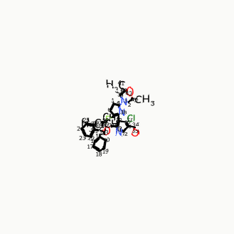 C[C@@H]1CN(c2ccc(F)c(-c3c(CO[Si](c4ccccc4)(c4ccccc4)C(C)(C)C)ncc(C=O)c3Cl)n2)C[C@H](C)O1